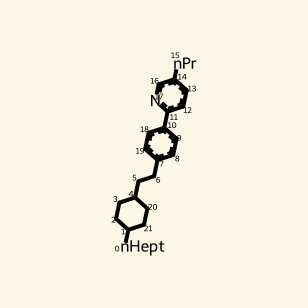 CCCCCCCC1CCC(CCc2ccc(-c3ccc(CCC)cn3)cc2)CC1